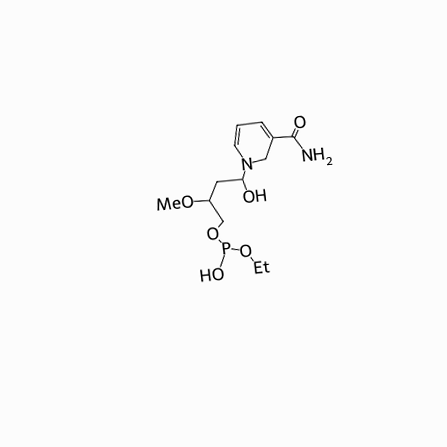 CCOP(O)OCC(CC(O)N1C=CC=C(C(N)=O)C1)OC